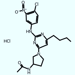 CCCCc1cc(N2CCC(NC(C)=O)C2)nc(Nc2ccc(Cl)c([N+](=O)[O-])c2)n1.Cl